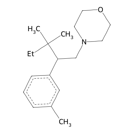 CCC(C)(C)C(CN1CCOCC1)c1cccc(C)c1